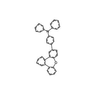 c1ccc(N(c2ccccc2)c2ccc(-c3ccc4c(c3)-c3ccccc3-c3ccccc3O4)cc2)cc1